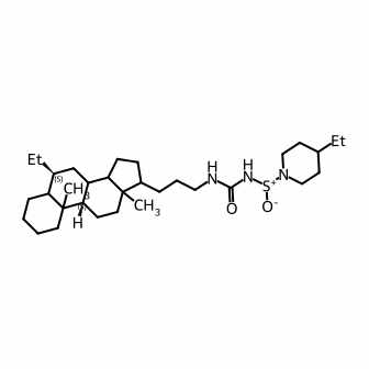 CCC1CCN([S+]([O-])NC(=O)NCCCC2CCC3C4C[C@H](CC)C5CCCCC5(C)[C@H]4CCC23C)CC1